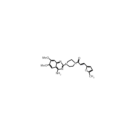 COc1cc2nc(N3CCN(C(=O)/C=C/c4ccc(C)o4)CC3)nc(N)c2cc1OC